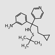 CC(C)(C)SNC(CCC1CC1)(c1ccncc1)c1cccc(N)c1